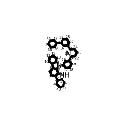 C1=CC2Nc3c(ccc4c5ccccc5n(-c5cccc(-c6cccc(-c7cccc(-c8ccccc8)c7)n6)c5)c34)C2C=C1